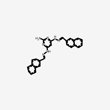 Nc1nc(N/N=C/c2ccc3ccccc3c2)cc(N/N=C/c2ccc3ccccc3c2)n1